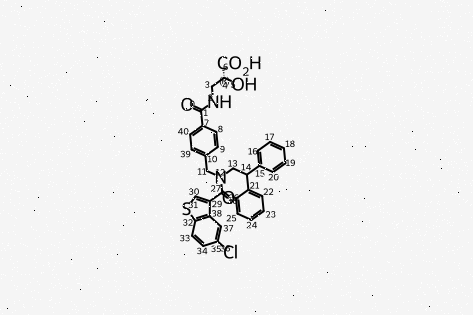 O=C(NC[C@@H](O)C(=O)O)c1ccc(CN(CC(c2ccccc2)c2ccccc2)C(=O)c2csc3ccc(Cl)cc23)cc1